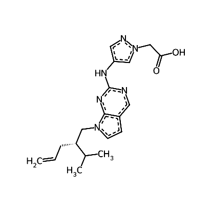 C=CC[C@H](Cn1ccc2cnc(Nc3cnn(CC(=O)O)c3)nc21)C(C)C